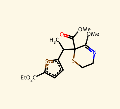 CCOC(=O)c1ccc(C(C)C2(C(=O)OC)SCCN=C2OC)s1